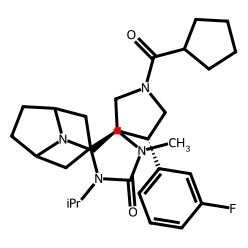 CC(C)N1C(=O)N(C)CC12CC1CCC(C2)N1C[C@H]1CN(C(=O)C2CCCC2)C[C@@H]1c1cccc(F)c1